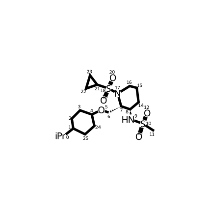 CC(C)C1CCC(OC[C@H]2[C@@H](NS(C)(=O)=O)CCCN2S(=O)(=O)C2CC2)CC1